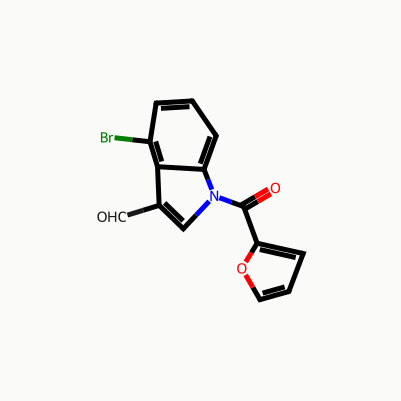 O=Cc1cn(C(=O)c2ccco2)c2cccc(Br)c12